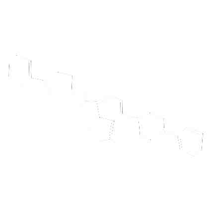 O=S(=O)(c1ccc(N2CCN(c3ccccc3)CC2)c2nonc12)N1CCN(c2ccccc2)CC1